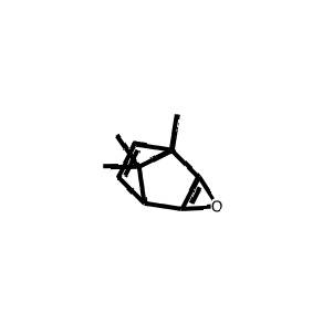 CC12C=CC(C3=C1O3)C2(C)C